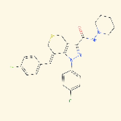 O=C(NN1CCCCC1)c1nn(-c2ccc(Cl)cc2)c2c1CSC/C2=C\c1ccc(F)cc1